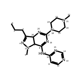 CCCC1=NN(C)C2C(Nc3ccncn3)=NC(N3CCN(C)CC3)=NC12